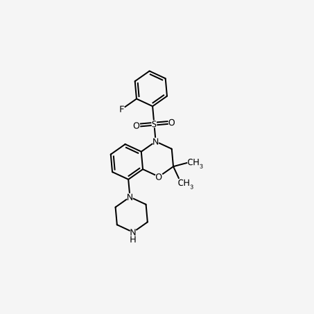 CC1(C)CN(S(=O)(=O)c2ccccc2F)c2cccc(N3CCNCC3)c2O1